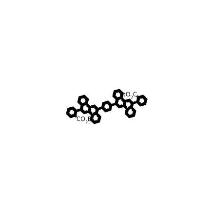 CCOC(=O)c1ccccc1-c1cc2c3ccccc3c(-c3ccc(-c4cc5c6ccccc6c(-c6ccccc6C(=O)OCC)cc5c5ccccc45)cc3)cc2c2ccccc12